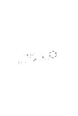 CC(C=CCC(=O)Oc1ccccc1)[N+](=O)[O-]